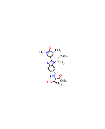 COC[C@H](C)n1c(-c2cc(C)c(=O)n(C)c2)nc2ccc(CNC(C(=O)OCC(C)C)[C@@H](C)O)cc21